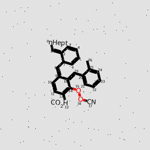 CCCCCCCC=C1C=CC=CC1C=c1ccc(C(=O)O)c(OOC#N)c1=Cc1ccccc1C